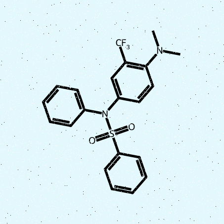 CN(C)c1ccc(N(c2ccccc2)S(=O)(=O)c2ccccc2)cc1C(F)(F)F